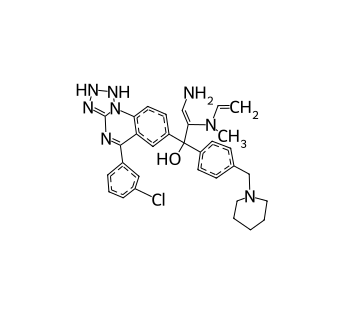 C=CN(C)/C(=C\N)C(O)(c1ccc(CN2CCCCC2)cc1)c1ccc2c(c1)C(c1cccc(Cl)c1)=NC1=NNNN12